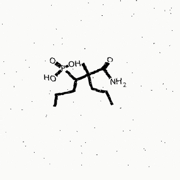 CCCC(C(C)(CCC)C(N)=O)P(=O)(O)O